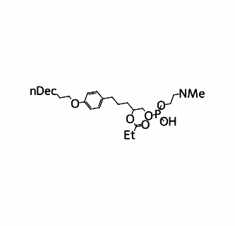 CCCCCCCCCCCCOc1ccc(CCCC(COP(O)OCCNC)OC(=O)CC)cc1